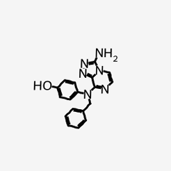 Nc1nnc2c(N(Cc3ccccc3)c3ccc(O)cc3)nccn12